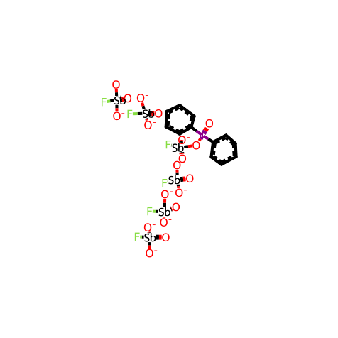 [O]=[Sb]([O-])([F])[O]I(=O)(c1ccccc1)c1ccccc1.[O]=[Sb]([O-])([O-])[F].[O]=[Sb]([O-])([O-])[F].[O]=[Sb]([O-])([O-])[F].[O]=[Sb]([O-])([O-])[F].[O]=[Sb]([O-])([O-])[F]